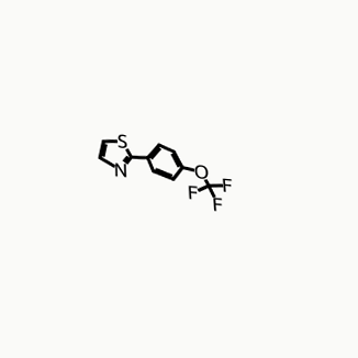 FC(F)(F)Oc1ccc(-c2nccs2)cc1